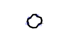 [C]1=C/CCC/C=C\C=C\C/C=C/CC/1